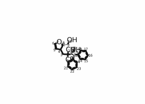 CC(C)(CC1C=CO[C@@H]1CO)[Si](O)(c1ccccc1)c1ccccc1